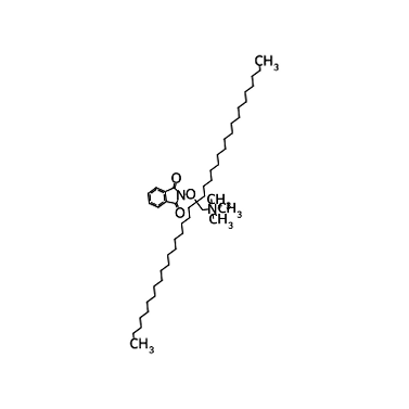 CCCCCCCCCCCCCCCCCCC(CCCCCCCCCCCCCCCCCC)(C[N+](C)(C)C)ON1C(=O)c2ccccc2C1=O